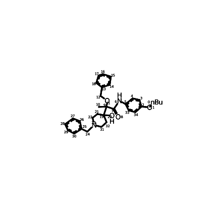 CCCCOc1ccc(NC(=O)C(C)(OCc2ccccc2)C2(O)CCN(Cc3ccccc3)CC2)cc1